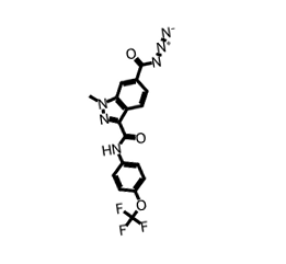 Cn1nc(C(=O)Nc2ccc(OC(F)(F)F)cc2)c2ccc(C(=O)N=[N+]=[N-])cc21